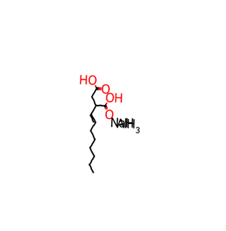 CCCCCCC=CC(CC(=O)O)C(=O)O.[AlH3].[NaH]